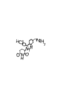 Cc1nc2cc(CN)ccc2c(=O)n1C1CCC(=O)NC1=O.Cl